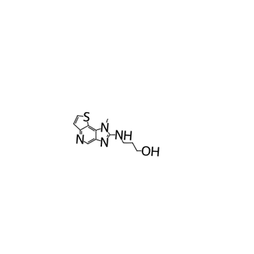 Cn1c(NCCCO)nc2cnc3ccsc3c21